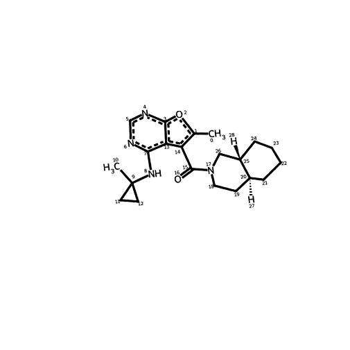 Cc1oc2ncnc(NC3(C)CC3)c2c1C(=O)N1CC[C@@H]2CCCC[C@H]2C1